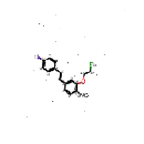 O=Nc1ccc(/C=C/c2ccc(I)cc2)cc1OCCF